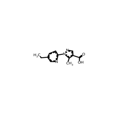 CCc1ccc(-n2ncc(C(=O)O)c2C)nc1